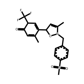 CC1=[C]C(=O)C(C(F)(F)F)C=C1C1C=C(C)N(Cc2ccc(S(C)(=O)=O)cc2)O1